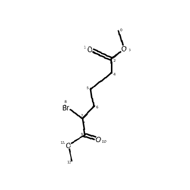 COC(=O)CCCC(Br)C(=O)OC